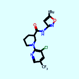 CC(C)(C)c1cc(NC(=O)C2CCCN(c3ncc(C(F)(F)F)cc3Cl)C2)no1